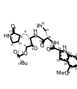 CC[C@@H](C)C(=O)OCC(=O)[C@H](C[C@@H]1CCNC1=O)NC(=O)[C@H](CC(C)C)NC(=O)c1cc2c(OC)cccc2[nH]1